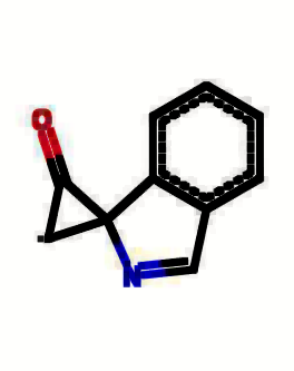 O=C1[CH]C12N=Cc1ccccc12